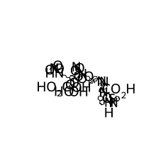 Cc1c(-c2ccc(C3CCc4cccc(C(=O)Nc5nc6ccccc6s5)c4C3)nc2C(=O)O)cnn1CC12CCC3C(OCCN(CCS(=O)(=O)N(C)C)C(=O)OCc4ccc(CCCCNC(=O)CN5C(=O)C=CC5=O)cc4O[C@@H]4O[C@H](C(=O)O)[C@@H](O)[C@H](O)[C@H]4O)CC(C)(C1)CC3(C)C2